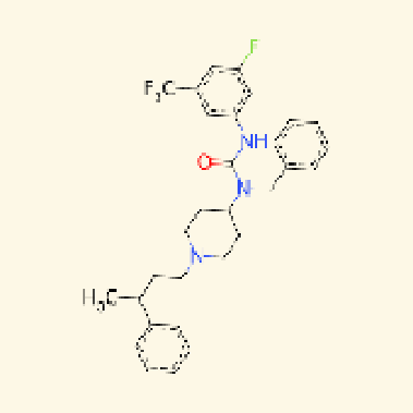 CC(CCN1CCC(N(Cc2ccccc2)C(=O)Nc2cc(F)cc(C(F)(F)F)c2)CC1)c1ccccc1